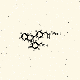 CCCCCNCc1ccc(C(=O)Nc2cccnc2N)cc1.OCc1ccc(F)cc1